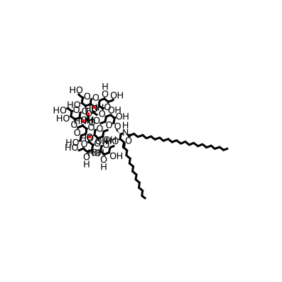 CCCCCCCCCCCCC/C=C/[C@@H](O)[C@H](CO[C@@H]1OC(CO)[C@@H](O[C@@H]2OC(CO)[C@H](O)[C@H](O[C@@H]3OC(CO)[C@@H](O)[C@H](O[C@@H]4OC(CO)[C@H](O)[C@H](O[C@@H]5OC(CO)[C@@H](O[C@@H]6OC(CO)[C@H](O)[C@H](O)C6O[C@H]6OC(C)[C@@H](O)C(O)[C@@H]6O)[C@H](O[C@H]6OC(C)[C@@H](O)C(O)[C@@H]6O)C5NC(C)=O)C4O)C3NC(C)=O)C2O)[C@H](O)C1O)NC(=O)CCCCCCCCCCCCCCCCCCCCCCC